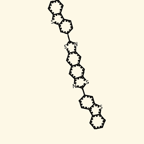 c1ccc2c(c1)sc1cc(-c3nc4cc5cc6sc(-c7ccc8c(c7)sc7ccccc78)nc6cc5cc4s3)ccc12